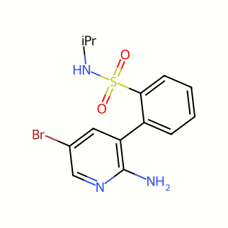 CC(C)NS(=O)(=O)c1ccccc1-c1cc(Br)cnc1N